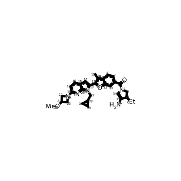 CCC1CN(C(=O)c2ccc3c(C)c(-c4cc5ccc(N6CC(OC)C6)nc5n4CC4CC4)oc3c2)C=C1N